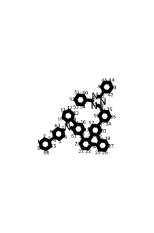 c1ccc(-c2ccc(-n3c4ccccc4c4ccc(-c5cccc6c7ccccc7c7cc(-c8cccc(-c9nc(-c%10ccccc%10)nc(-c%10ccccc%10)n9)c8)ccc7c56)cc43)cc2)cc1